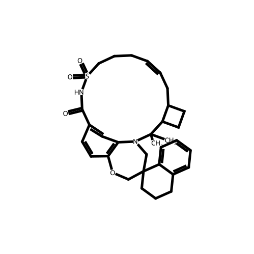 CC1(C)C2CCC2CC=CCCCS(=O)(=O)NC(=O)c2ccc3c(c2)N1CC1(CCCc2ccccc21)CO3